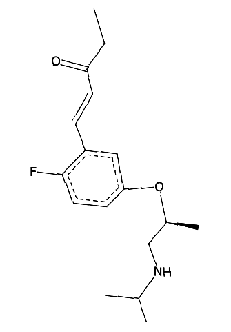 CCC(=O)/C=C/c1cc(O[C@@H](C)CNC(C)C)ccc1F